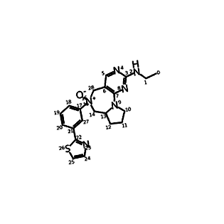 CCNc1ncc2c(n1)N1CCCC1C[N+]([O-])(c1cccc(-c3nccs3)c1)C2